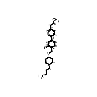 CCCC[C@H]1CC[C@H](CCc2ccc(-c3ccc(CCC)nn3)cc2F)CC1